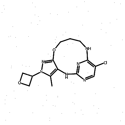 Cc1c2c(nn1C1COC1)OCCCNc1nc(ncc1Cl)N2